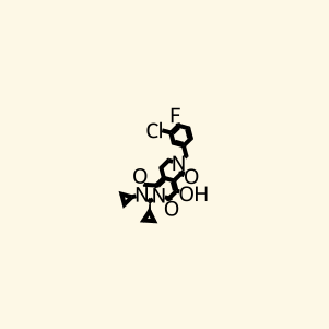 O=C1c2c(c3n(c(=O)c2O)[C@@H](C2CC2)N(C2CC2)C3=O)CCN1Cc1ccc(F)c(Cl)c1